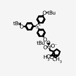 CC(C)(C)Oc1ccc([S+](c2ccc(OC(C)(C)C)cc2)c2ccc(OC(C)(C)C)cc2)cc1.CC1(C)C2CCC1(CS(=O)(=O)[O-])C(=O)C2